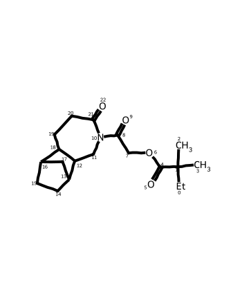 CCC(C)(C)C(=O)OCC(=O)N1CC2C3CCC(C3)C2CCC1=O